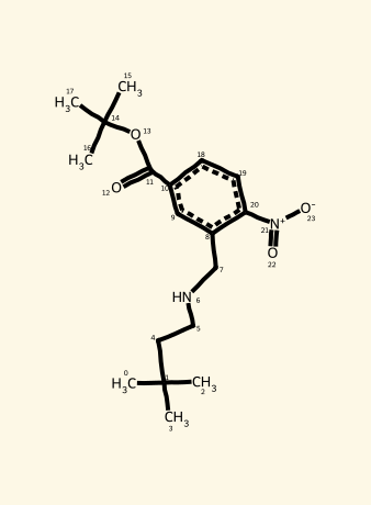 CC(C)(C)CCNCc1cc(C(=O)OC(C)(C)C)ccc1[N+](=O)[O-]